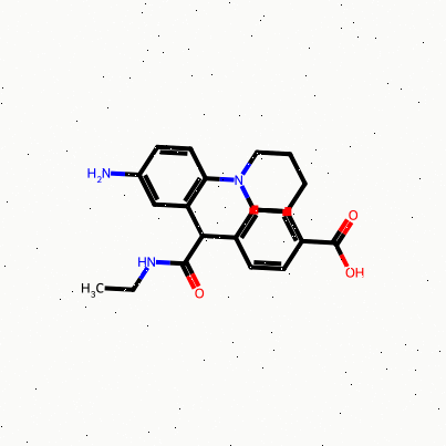 CCNC(=O)C(c1ccc(C(=O)O)cc1)c1cc(N)ccc1N1CCCCC1